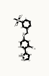 CS(=O)(=O)c1cccc(COc2cnc(-c3ccn[nH]3)c(F)c2)c1